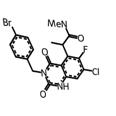 CNC(=O)C(C)c1c(F)c(Cl)cc2[nH]c(=O)n(Cc3ccc(Br)cc3)c(=O)c12